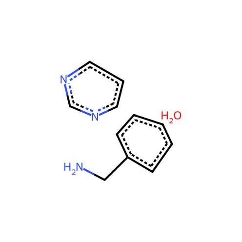 NCc1ccccc1.O.c1cncnc1